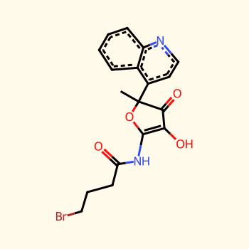 CC1(c2ccnc3ccccc23)OC(NC(=O)CCCBr)=C(O)C1=O